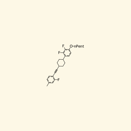 CCCCCOc1ccc(C2CCC(C#Cc3ccc(C)cc3F)CC2)c(F)c1F